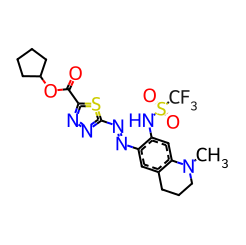 CN1CCCc2cc(N=Nc3nnc(C(=O)OC4CCCC4)s3)c(NS(=O)(=O)C(F)(F)F)cc21